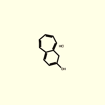 Cl.OC1=CC=C2C=CC=CC=C2C1